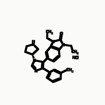 CCn1c(=O)n(CC)c2cc(-c3c(-c4cccc(C)c4)ncn3[C@@H]3CCNC3)ccc21.Cl